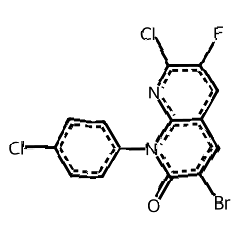 O=c1c(Br)cc2cc(F)c(Cl)nc2n1-c1ccc(Cl)cc1